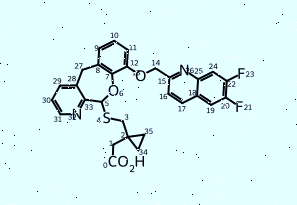 O=C(O)CC1(CSC2Oc3c(cccc3OCc3ccc4cc(F)c(F)cc4n3)Cc3cccnc32)CC1